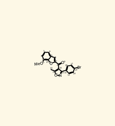 COc1cccc2cc(C(=O)c3c(-c4ccc(Br)cc4)noc3C)oc12